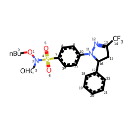 CCCCON(C=O)S(=O)(=O)c1ccc(N2N=C(C(F)(F)F)CC2c2ccccc2)cc1